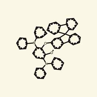 COc1c(N(c2ccccc2)c2ccccc2)ccc(N(c2ccccc2)c2ccccc2)c1Oc1ccc2c(c1)C1(c3ccccc3-c3ccccc31)c1ccccc1-2